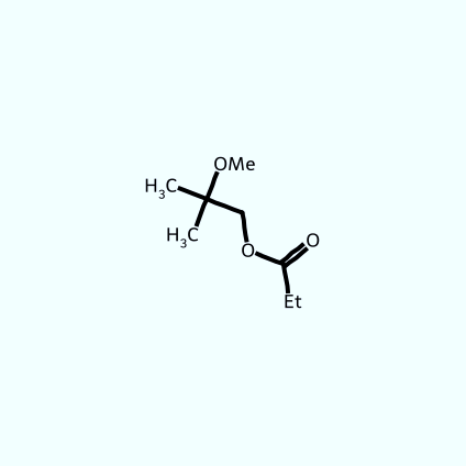 CCC(=O)OCC(C)(C)OC